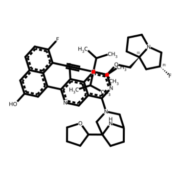 CC(C)[Si](C#Cc1c(F)ccc2cc(O)cc(-c3ncc4c(N5CC6CCC(C7CCCO7)(C5)N6)nc(OC[C@@]56CCCN5C[C@H](F)C6)nc4c3F)c12)(C(C)C)C(C)C